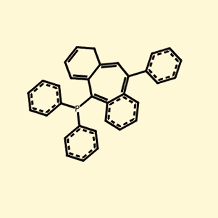 C1=CCC2=CC(c3ccccc3)=c3ccccc3=C(P(c3ccccc3)c3ccccc3)C2=C1